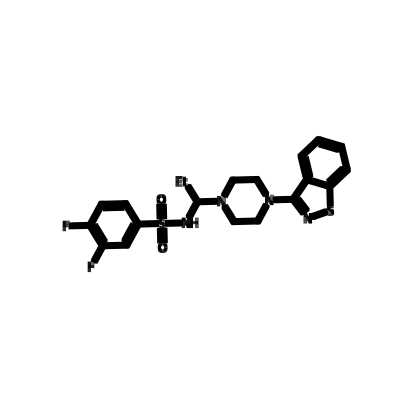 CCC(NS(=O)(=O)c1ccc(F)c(F)c1)N1CCN(c2nsc3ccccc23)CC1